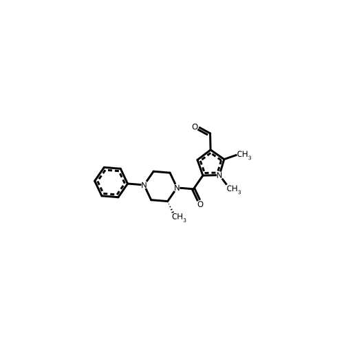 Cc1c(C=O)cc(C(=O)N2CCN(c3ccccc3)C[C@H]2C)n1C